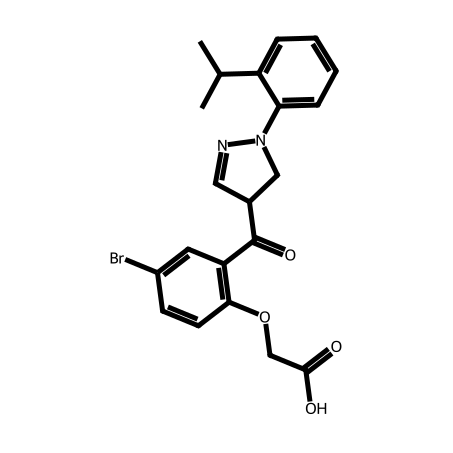 CC(C)c1ccccc1N1CC(C(=O)c2cc(Br)ccc2OCC(=O)O)C=N1